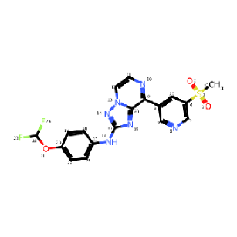 CS(=O)(=O)c1cncc(-c2nccn3nc(Nc4ccc(OC(F)F)cc4)nc23)c1